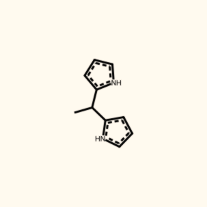 CC(c1ccc[nH]1)c1ccc[nH]1